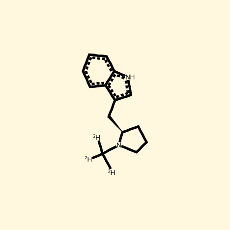 [2H]C([2H])([2H])N1CCC[C@@H]1Cc1c[nH]c2ccccc12